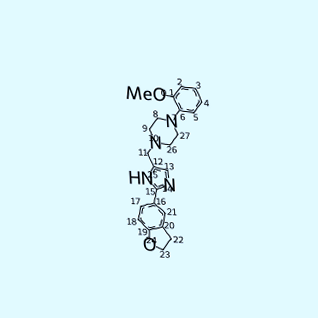 COc1ccccc1N1CCN(Cc2cnc(-c3ccc4c(c3)CCO4)[nH]2)CC1